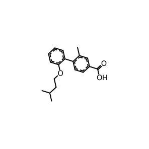 Cc1cc(C(=O)O)ccc1-c1ccccc1OCCC(C)C